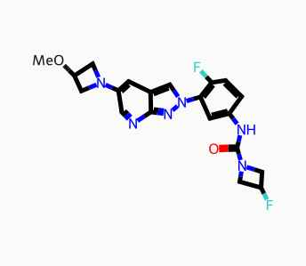 COC1CN(c2cnc3nn(-c4cc(NC(=O)N5CC(F)C5)ccc4F)cc3c2)C1